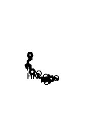 COc1cc(C)c(S(=O)(=O)N(C)CCC(=O)NC2CCC(N3CCC(CCN4CCCC4)C3)CC2)c(C)c1